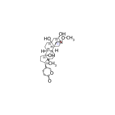 CO/N=C/[C@]12CC[C@H](O)C[C@@]1(O)CC[C@@H]1[C@@H]2CC[C@]2(C)[C@@H](c3ccc(=O)oc3)CC[C@]12O